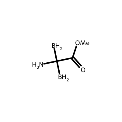 BC(B)(N)C(=O)OC